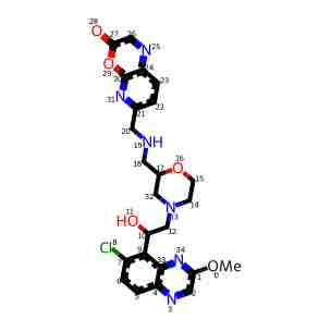 COc1cnc2ccc(Cl)c(C(O)CN3CCOC(CNCc4ccc5ncc(=O)oc5n4)C3)c2n1